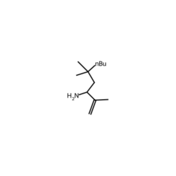 C=C(C)C(N)CC(C)(C)CCCC